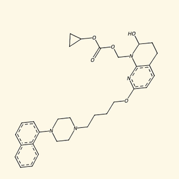 O=C(OCN1c2nc(OCCCCN3CCN(c4cccc5ccccc45)CC3)ccc2CCC1O)OC1CC1